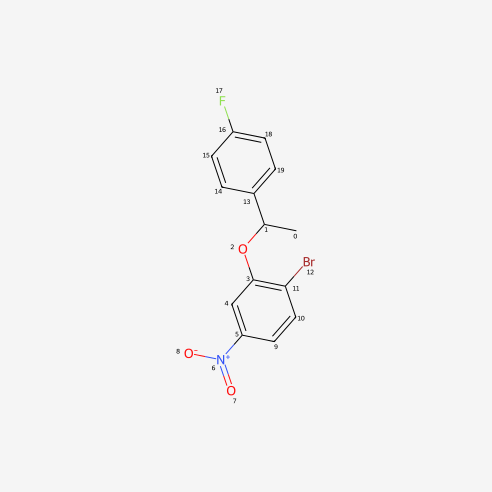 CC(Oc1cc([N+](=O)[O-])ccc1Br)c1ccc(F)cc1